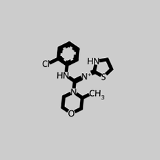 CC1COCCN1C(=[N+]=C1NCCS1)Nc1ccccc1Cl